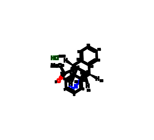 COC(=O)[C@@H]1[C@H]2c3ccccc3[C@H](c3ccccc32)[C@@H]1N.Cl